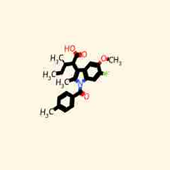 CC[C@H](C)C(C(=O)O)c1c(C)n(C(=O)c2ccc(C)cc2)c2cc(F)c(OC)cc12